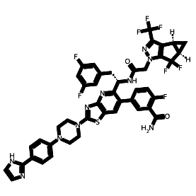 NC(=O)c1cc(-c2cc3sc(N4CCN(c5ccc(-c6ncc[nH]6)cc5)CC4)nc3nc2[C@H](Cc2cc(F)cc(F)c2)NC(=O)Cn2nc(C(F)(F)F)c3c2C(F)(F)[C@@H]2C[C@H]32)ccc1F